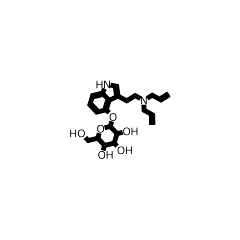 C=CCN(CC=C)CCc1c[nH]c2cccc(OC3OC(CO)C(O)C(O)C3O)c12